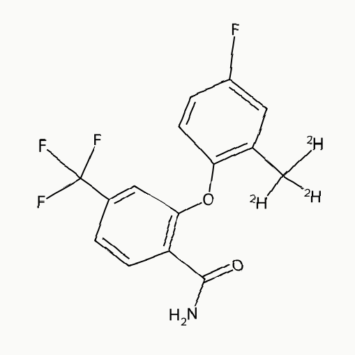 [2H]C([2H])([2H])c1cc(F)ccc1Oc1cc(C(F)(F)F)ccc1C(N)=O